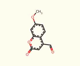 COc1ccc2c(C=O)cc(=O)oc2c1